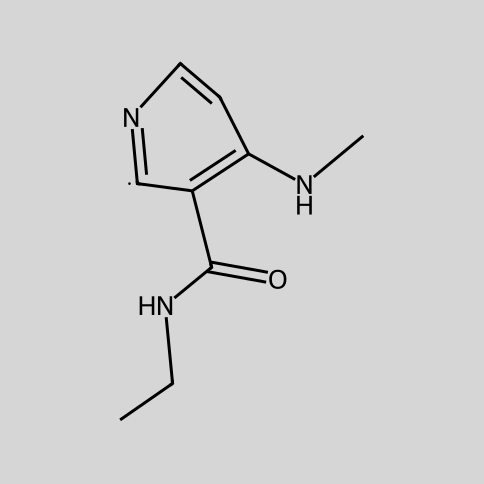 CCNC(=O)c1[c]nccc1NC